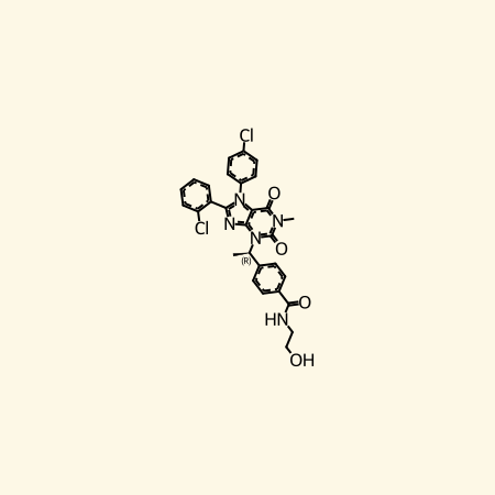 C[C@H](c1ccc(C(=O)NCCO)cc1)n1c(=O)n(C)c(=O)c2c1nc(-c1ccccc1Cl)n2-c1ccc(Cl)cc1